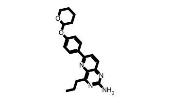 CCCc1nc(N)nc2ccc(-c3ccc(OC4CCCCO4)cc3)nc12